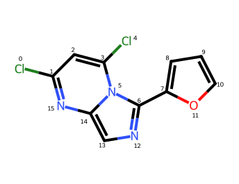 Clc1cc(Cl)n2c(-c3ccco3)ncc2n1